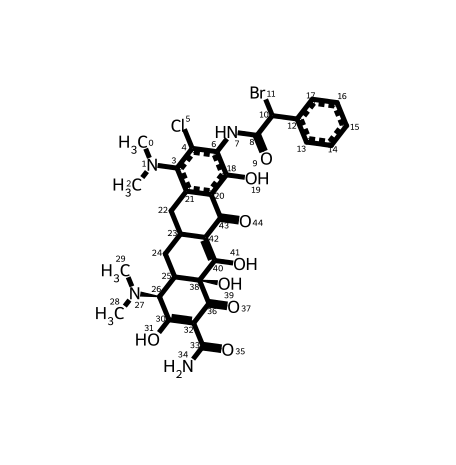 CN(C)c1c(Cl)c(NC(=O)C(Br)c2ccccc2)c(O)c2c1CC1CC3[C@H](N(C)C)C(O)=C(C(N)=O)C(=O)[C@@]3(O)C(O)=C1C2=O